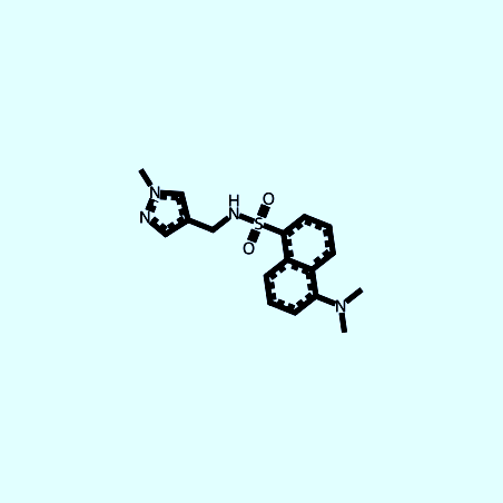 CN(C)c1cccc2c(S(=O)(=O)NCc3cnn(C)c3)cccc12